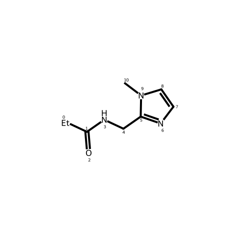 [CH2]CC(=O)NCc1nccn1C